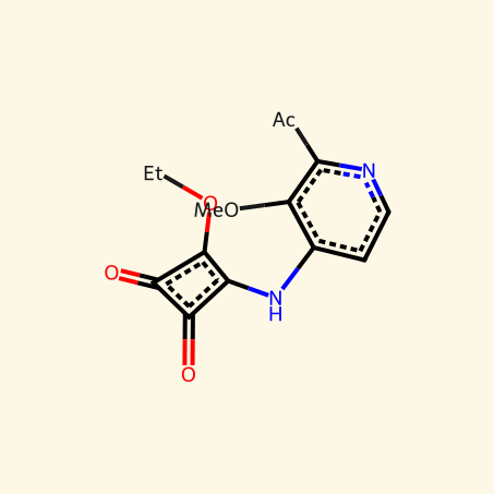 CCOc1c(Nc2ccnc(C(C)=O)c2OC)c(=O)c1=O